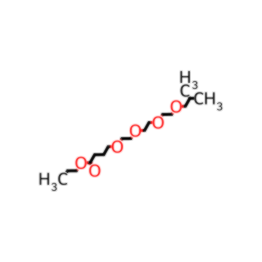 CCCOC(=O)CCCOCCOCCOCCOCC(C)C